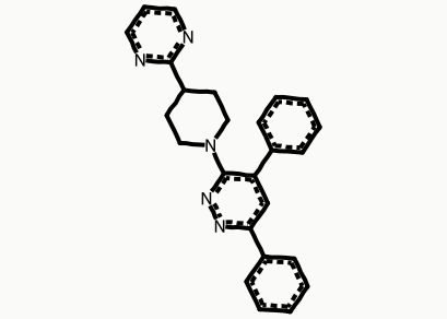 c1ccc(-c2cc(-c3ccccc3)c(N3CCC(c4ncccn4)CC3)nn2)cc1